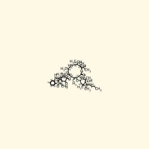 CCCNC[C@]1(O)[C@H](C)O[C@@H](O[C@H]2[C@H](C)[C@@H](O[C@@H]3O[C@H](C)C[C@H](N(C)S(=O)(=O)c4ccccc4NC4CC4)[C@H]3O)[C@](C)(O)C[C@@H](C)CN[C@H](C)[C@@H](O)[C@](C)(O)[C@@H](CC)OC(=O)[C@@H]2C)C[C@@]1(C)OC